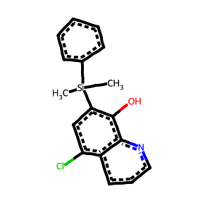 C[Si](C)(c1ccccc1)c1cc(Cl)c2cccnc2c1O